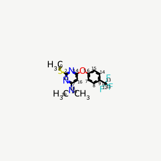 CSc1nc(Oc2ccc(C(F)(F)F)cc2)cc(N(C)C)n1